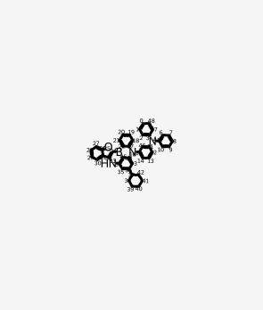 c1ccc(N(c2ccccc2)c2cccc(N3c4ccccc4B4c5oc6ccccc6c5Nc5cc(C6CCCCC6)cc3c54)c2)cc1